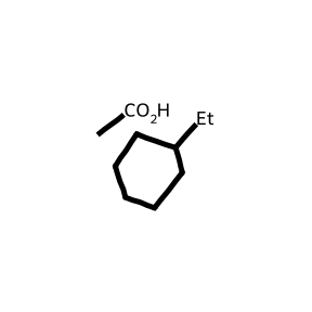 CC(=O)O.CCC1CCCCC1